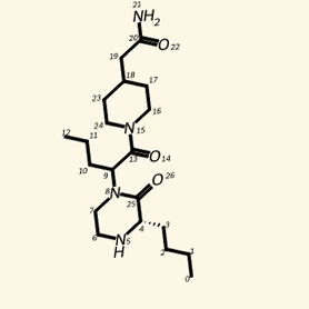 CCCC[C@@H]1NCCN(C(CCC)C(=O)N2CCC(CC(N)=O)CC2)C1=O